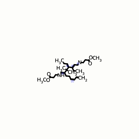 C=C/C=C\CC/C(=C\NCCC(=O)OC)C(C)(C)C(=C\CC)/C(=C/C=N/CCC(=O)OC)CC